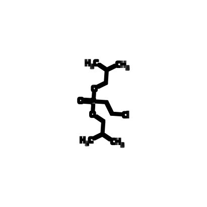 CC(C)COP(=O)(CCCl)OCC(C)C